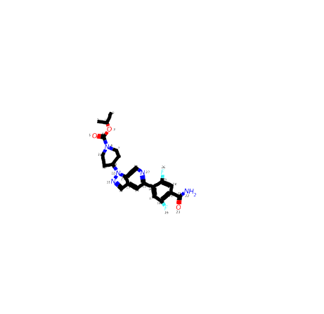 CC(C)OC(=O)N1CCC(n2ncc3cc(-c4cc(F)c(C(N)=O)cc4F)ncc32)CC1